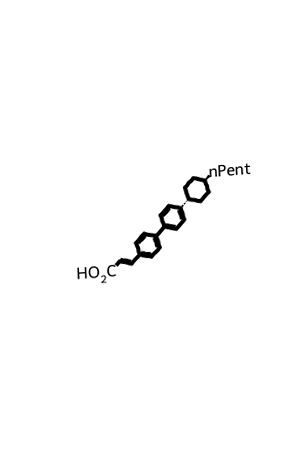 CCCCC[C@H]1CC[C@H](c2ccc(-c3ccc(C=CC(=O)O)cc3)cc2)CC1